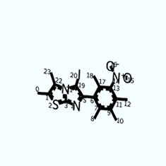 Cc1sc2nc(-c3c(C)c(C)c(C)c([N+](=O)[O-])c3C)c(I)n2c1C